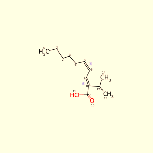 CCCCC/C=C\C=C(\C(=O)O)C(C)C